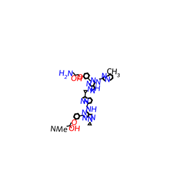 CNCC(O)COc1cccc(-c2nc(NCc3cccc4c(C5CC5n5ncc6c(NCc7cn8cccc(C)c8n7)nc(-c7cccc(OCC(O)CN)c7)nc65)cnn34)c3cnn(C4CC4)c3n2)c1